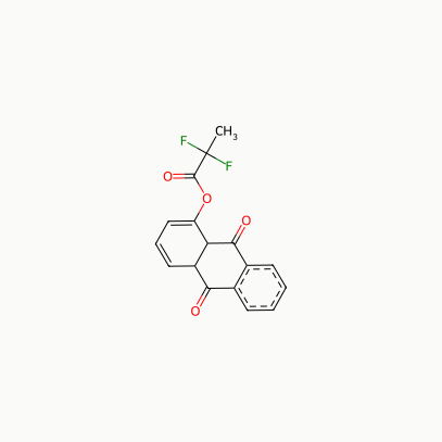 CC(F)(F)C(=O)OC1=CC=CC2C(=O)c3ccccc3C(=O)C12